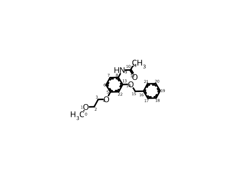 COCCOc1ccc(NC(C)=O)c(OCc2ccccc2)c1